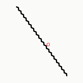 CCCCCCCCCCCCCCCCCCCCCCCC(=O)CCCCCCCCCCCCCCCCC